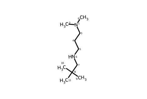 CN(C)CCCNCC(C)(C)C